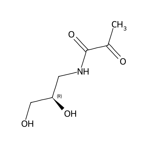 CC(=O)C(=O)NC[C@@H](O)CO